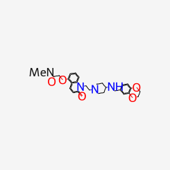 CNC(=O)COc1cccc2c1ccc(=O)n2CCN1CCC(NCc2ccc3c(c2)OCCO3)CC1